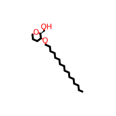 CCCCCCCCCCCCCCCCO[C@H]1CCCO[C@H]1CO